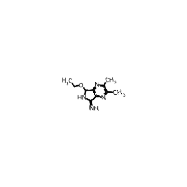 CCOC1NC(=N)c2nc(C)c(C)nc21